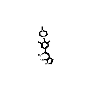 Cc1cc(/C(N)=C/c2cc[nH]c2N)cc(C)c1N1CCN(C)CC1